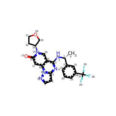 C[C@@H](Nc1nc2ccnn2c2cc(=O)n([C@H]3CCOC3)cc12)c1cccc(C(F)(F)F)c1